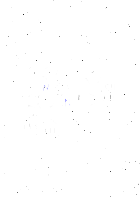 CC1(C)c2ccccc2-c2c1ccc1c2c2cc3c4ccccc4n(-c4ccccc4)c3c3c4c5c(ccc4n1c23)C(C)(C)c1ccccc1-5